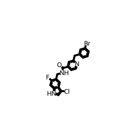 O=C(NCc1cc2c(Cl)c[nH]c2cc1F)c1ccnc(Cc2cccc(Br)c2)c1